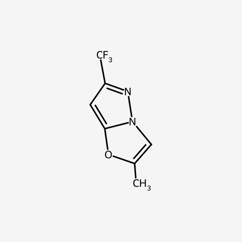 Cc1cn2nc(C(F)(F)F)cc2o1